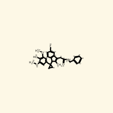 COc1cc(C2(C3C(C)=C(CC(=O)NCc4ccccc4)c4cc(F)ccc43)CC2)cc(OC)c1O